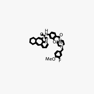 COc1ccc(CN2CCN(C(=O)c3ccc(NS(=O)(=O)C4=CC5CCCCC5=Cc5cccnc54)cc3OC)CC2)cc1F